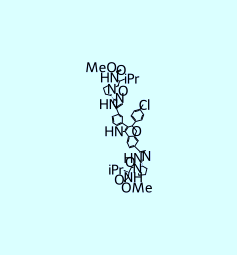 COC(=O)NC(C(=O)N1CCC[C@H]1c1ncc(-c2ccc3[nH]c4c(c3c2)C(c2ccc(Cl)cc2)Oc2cc(-c3cnc([C@@H]5CCCN5C(=O)[C@@H](NC(=O)OC)C(C)C)[nH]3)ccc2-4)[nH]1)C(C)C